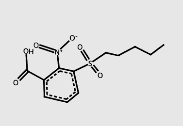 CCCCCS(=O)(=O)c1cccc(C(=O)O)c1[N+](=O)[O-]